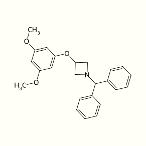 COc1cc(OC)cc(OC2CN(C(c3ccccc3)c3ccccc3)C2)c1